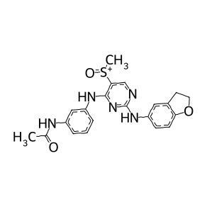 CC(=O)Nc1cccc(Nc2nc(Nc3ccc4c(c3)CCO4)ncc2[S+](C)[O-])c1